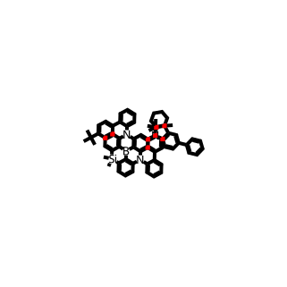 CC(C)(C)c1ccc(-c2ccccc2N2c3cc(N4c5ccc(-c6ccccc6)cc5C5(C)CCCCC45C)cc4c3B3c5c2cccc5[Si](C)(C)c2cccc(c23)N4c2ccccc2-c2ccc(C(C)(C)C)cc2)cc1